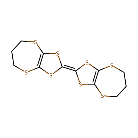 C1CSC2=C(SC1)SC(=C1SC3=C(SCCCS3)S1)S2